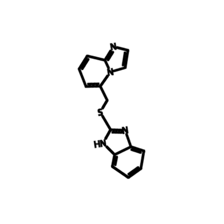 c1ccc2[nH]c(SCc3cccc4nccn34)nc2c1